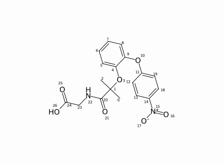 CC(C)(Oc1ccccc1Oc1ccc([N+](=O)[O-])cc1)C(=O)NCC(=O)O